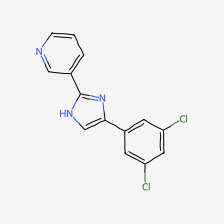 Clc1cc(Cl)cc(-c2c[nH]c(-c3cccnc3)n2)c1